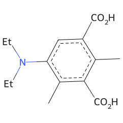 CCN(CC)c1cc(C(=O)O)c(C)c(C(=O)O)c1C